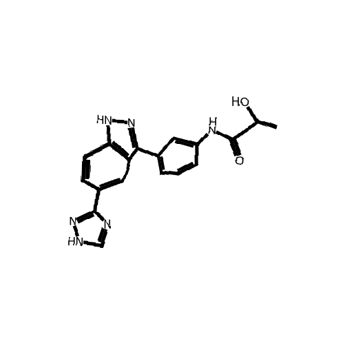 CC(O)C(=O)Nc1cccc(-c2n[nH]c3ccc(-c4nc[nH]n4)cc23)c1